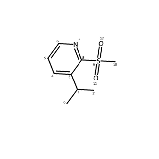 CC(C)c1cccnc1S(C)(=O)=O